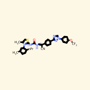 CCCc1ccc(C)cc1-n1c(C)cs/c1=N\C(=O)N/C=C(\C#N)c1ccc(-c2ncn(-c3ccc(OC(F)(F)F)cc3)n2)cc1